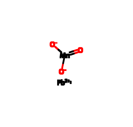 [O]=[Mn]([O-])[O-].[Pb+2]